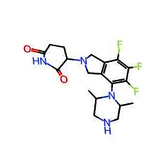 CC1CNCC(C)N1c1c(F)c(F)c(F)c2c1CN(C1CCC(=O)NC1=O)C2